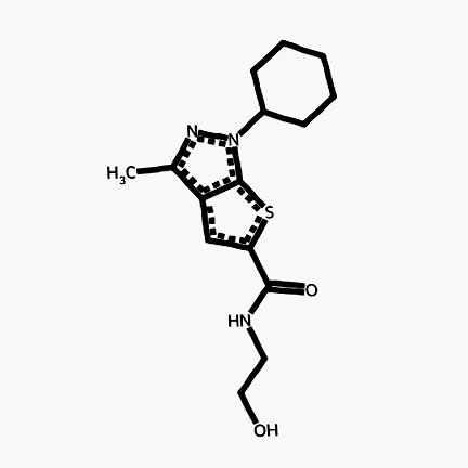 Cc1nn(C2CCCCC2)c2sc(C(=O)NCCO)cc12